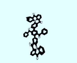 O=C(c1ccccc1)c1cc(-c2ccc3c(c2)c(=O)c2cccc4c(=O)c5ccccc5n3c42)c(C(=O)c2ccccc2)cc1-c1ccc2c(c1)c(=O)c1cccc3c(=O)c4ccccc4n2c31